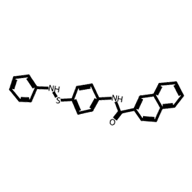 O=C(Nc1ccc(SNc2ccccc2)cc1)c1ccc2ccccc2c1